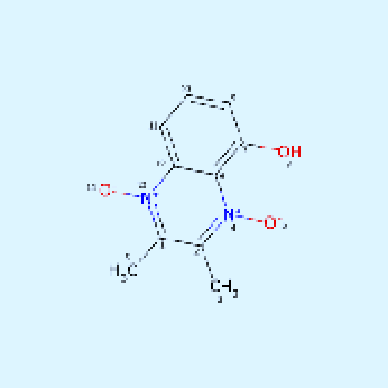 Cc1c(C)[n+]([O-])c2c(O)cccc2[n+]1[O-]